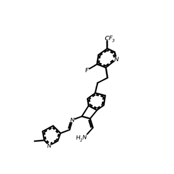 Cc1ccc(/C=N/C2/C(=C\N)c3ccc(CCc4ncc(C(F)(F)F)cc4F)cc32)cn1